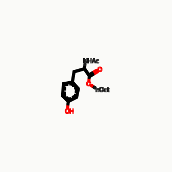 CCCCCCCCOC(=O)C(Cc1ccc(O)cc1)NC(C)=O